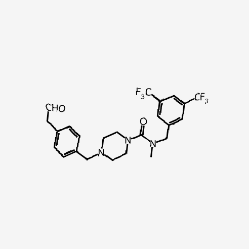 CN(Cc1cc(C(F)(F)F)cc(C(F)(F)F)c1)C(=O)N1CCN(Cc2ccc(CC=O)cc2)CC1